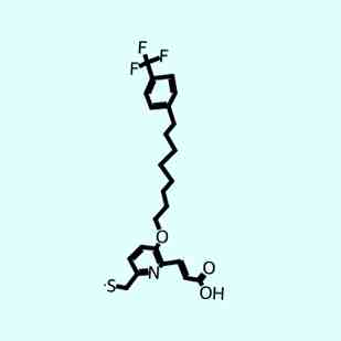 O=C(O)C=Cc1nc(C[S])ccc1OCCCCCCCCc1ccc(C(F)(F)F)cc1